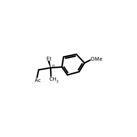 CC[C@@](C)(CC(C)=O)c1ccc(OC)cc1